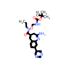 CCCN(OCNC(=O)OC(C)(C)C)C(=O)C1=Cc2ccc(-c3cncnc3)cc2N=C(N)C1